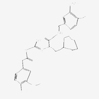 CCOC(=O)c1ccc(CC(=O)NC(N)=NC(CC2CCCCC2)C(=O)NCc2ccc(F)c(OC)c2)cc1OCC